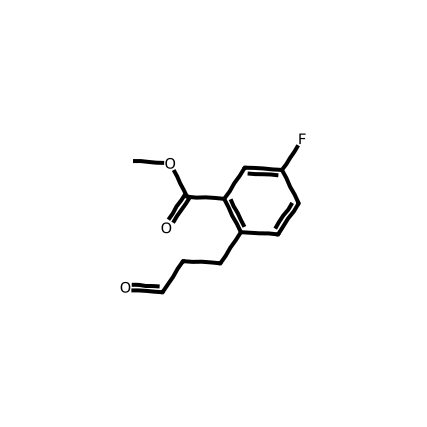 COC(=O)c1cc(F)ccc1CCC=O